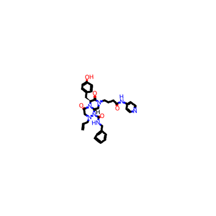 C=CCN1CC(=O)N2[C@@H](Cc3ccc(O)cc3)C(=O)N(CCCC(=O)Nc3ccncc3)C[C@@H]2N1C(=O)NCc1ccccc1